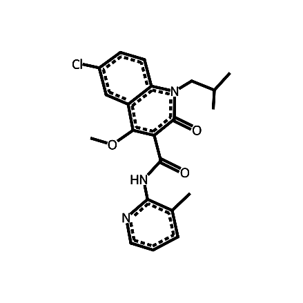 COc1c(C(=O)Nc2ncccc2C)c(=O)n(CC(C)C)c2ccc(Cl)cc12